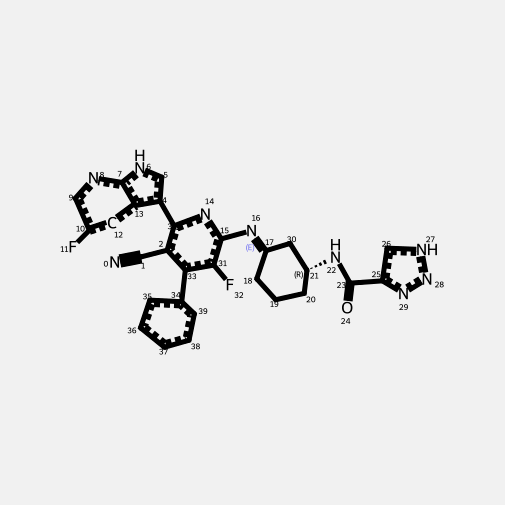 N#Cc1c(-c2c[nH]c3ncc(F)cc23)nc(/N=C2\CCC[C@@H](NC(=O)c3c[nH]nn3)C2)c(F)c1-c1ccccc1